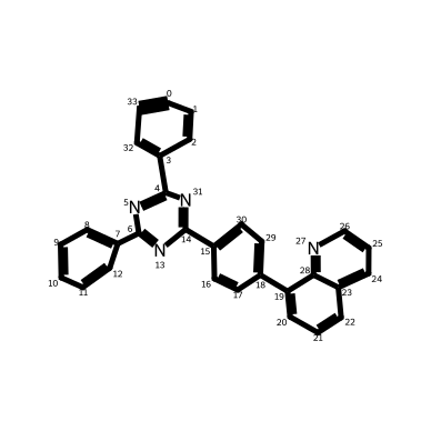 c1ccc(-c2nc(-c3ccccc3)nc(-c3ccc(-c4cccc5cccnc45)cc3)n2)cc#1